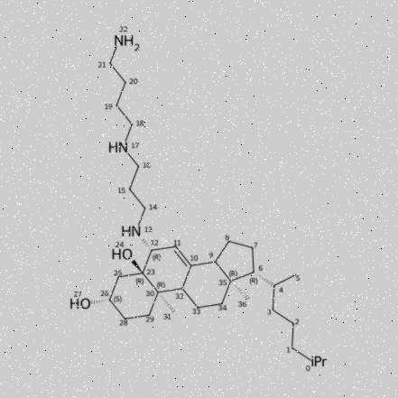 CC(C)CCCC(C)[C@H]1CCC2C3=C[C@@H](NCCCNCCCCN)[C@@]4(O)C[C@@H](O)CC[C@]4(C)C3CC[C@@]21C